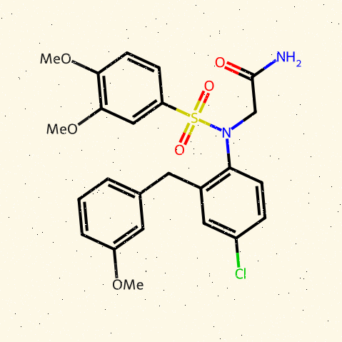 COc1cccc(Cc2cc(Cl)ccc2N(CC(N)=O)S(=O)(=O)c2ccc(OC)c(OC)c2)c1